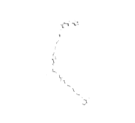 CC(COCCC(=O)NCCOCCOCCOCCOC[C@H]1OC[C@H](Nc2cncc(C(F)(F)F)n2)[C@@H](O)[C@H]1O)COCCC(=O)NCCOCCOCCOCCOC[C@H]1OCC[C@@H](O)[C@H]1O